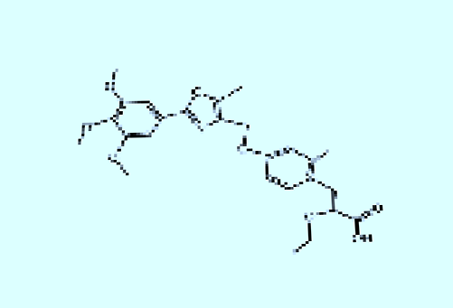 CCO[C@@H](Cc1ccc(OCc2nc(-c3cc(OC)c(OC)c(OC)c3)oc2C)cc1C)C(=O)O